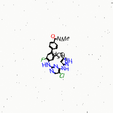 CNC(=O)c1ccc(-c2cc(F)c(Nc3ncc(Cl)c(Nc4cc(C)[nH]n4)n3)cc2C)cc1